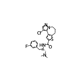 CN(C)C[C@H](Cc1cccc(F)c1)NC(=O)c1cc2c(s1)CCCn1ncc(Cl)c1-2